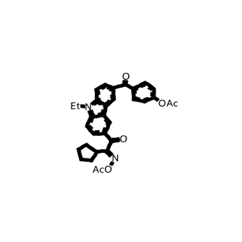 CCn1c2ccc(C(=O)/C(=N/OC(C)=O)C3CCCC3)cc2c2cc(C(=O)c3ccc(OC(C)=O)cc3)ccc21